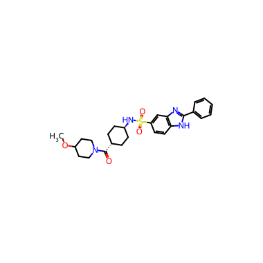 COC1CCN(C(=O)[C@H]2CC[C@H](NS(=O)(=O)c3ccc4[nH]c(-c5ccccc5)nc4c3)CC2)CC1